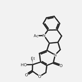 CC[C@@]1(O)C(=O)OCc2c1cc1n(c2=O)CC2Cc3ccccc3N(C(C)=O)C12